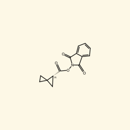 O=C(ON1C(=O)c2ccccc2C1=O)[C@@H]1CC12CC2